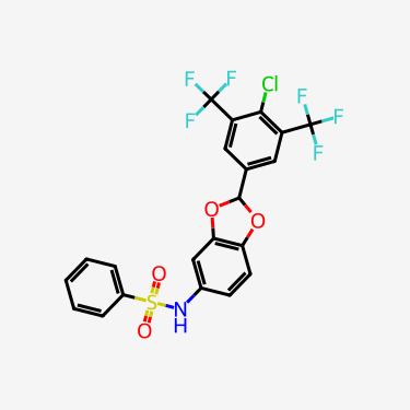 O=S(=O)(Nc1ccc2c(c1)OC(c1cc(C(F)(F)F)c(Cl)c(C(F)(F)F)c1)O2)c1ccccc1